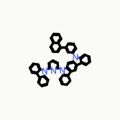 C1=Cc2c(c3cc4c5ccccc5n(-c5cccc(-c6cccc7ccccc67)c5)c4cc3n2-c2cccc(-n3c4ccccc4c4ccccc43)n2)CC1